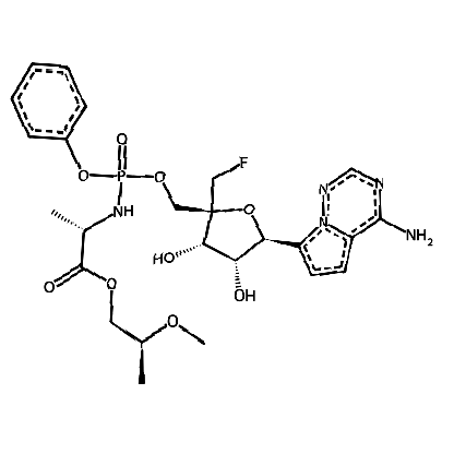 CO[C@@H](C)COC(=O)[C@H](C)NP(=O)(OC[C@@]1(CF)O[C@@H](c2ccc3c(N)ncnn23)[C@H](O)[C@@H]1O)Oc1ccccc1